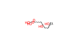 CCC(O)/C=C/C=C\C/C=C\CC(O)/C=C/C=C\CCCCCC(=O)OCC(O)CO